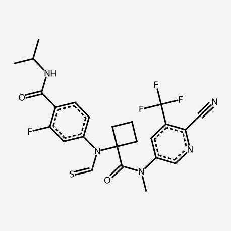 CC(C)NC(=O)c1ccc(N(C=S)C2(C(=O)N(C)c3cnc(C#N)c(C(F)(F)F)c3)CCC2)cc1F